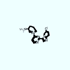 N[C@H]1CCCN(c2ccnc(-c3cnc4ccc(Cl)cn34)n2)C1